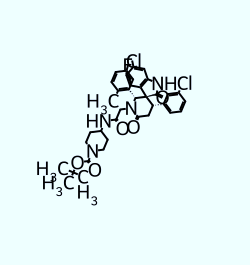 Cc1ccc(F)cc1[C@H]1N(CC(=O)NC2CCN(C(=O)OC(C)(C)C)CC2)C(=O)C[C@@H](c2cccc(Cl)c2)[C@]12C(=O)Nc1cc(Cl)ccc12